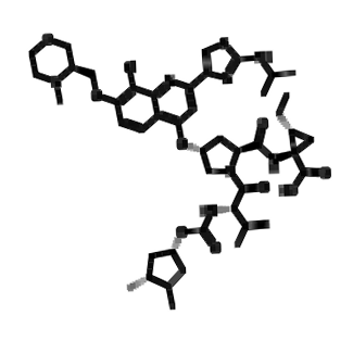 C=C(C)[C@H](NC(=O)O[C@@H]1CC(C)[C@H](C)C1)C(=O)N1C[C@H](Oc2cc(-c3csc(NC(C)C)n3)nc3c(Cl)c(OC[C@@H]4COCCN4C)ccc23)C[C@H]1C(=O)N[C@]1(C(=O)O)C[C@H]1CC